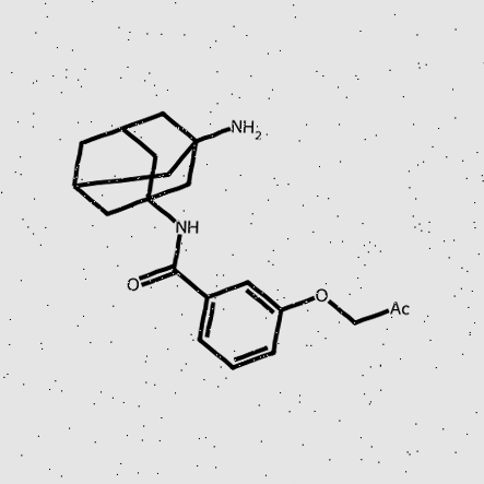 CC(=O)COc1cccc(C(=O)NC23CC4CC(CC(N)(C4)C2)C3)c1